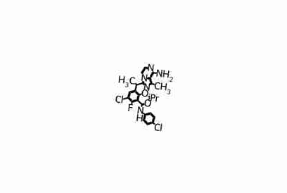 Cc1nc(C(C)c2cc(Cl)c(F)c(C(=O)Nc3ccc(Cl)cc3)c2OC(C)C)n2ccnc(N)c12